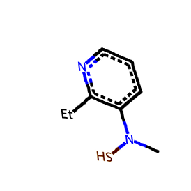 CCc1ncccc1N(C)S